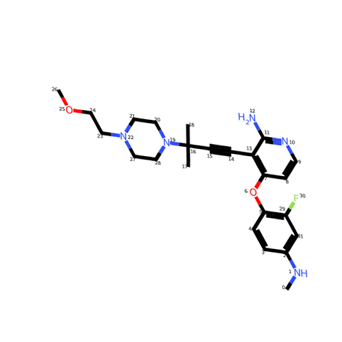 CNc1ccc(Oc2ccnc(N)c2C#CC(C)(C)N2CCN(CCOC)CC2)c(F)c1